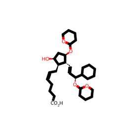 O=C(O)CCC/C=C\C[C@@H]1[C@@H](/C=C/[C@@H](OC2CCCCO2)C2CCCCC2)[C@H](OC2CCCCO2)C[C@@H]1O